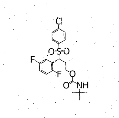 C[C@H](COC(=O)NC(C)(C)C)[C@@H](c1cc(F)ccc1F)S(=O)(=O)c1ccc(Cl)cc1